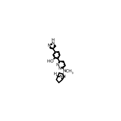 CN(c1ccc(-c2ccc(-c3cn[nH]c3)cc2O)nn1)[C@@H]1CC2CC[C@H](C1)N2